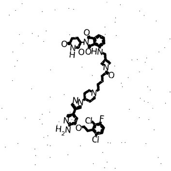 Nc1ncc(-c2cnn(C3CCN(CCCCC(=O)N4CC(CNc5cccc6c5C(=O)N([C@@H]5CCC(=O)NC5=O)C6=O)C4)CC3)c2)cc1OCCc1c(Cl)ccc(F)c1Cl